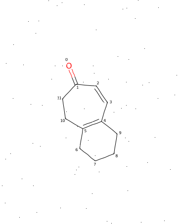 O=C1C=CC2=C(CCCC2)CC1